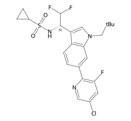 CC(C)(C)Cn1cc([C@H](NS(=O)(=O)C2CC2)C(F)F)c2ccc(-c3ncc(Cl)cc3F)cc21